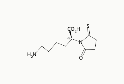 NCCCC[C@@H](C(=O)O)N1C(=O)CCC1=S